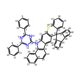 c1ccc(-c2nc(-c3ccccc3)nc(-n3c4cc5c(cc4c4ccc6ccccc6c43)C3(c4ccccc4S5)c4ccccc4-c4ccccc43)n2)cc1